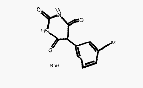 CCc1cccc(C2C(=O)NC(=O)NC2=O)c1.[NaH]